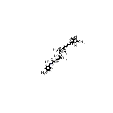 C=C1N[C@H]2CSC(CCCCC(=O)NC(C)(C)COC(C)(C)CCNC(=O)/C=C(\C)c3ccc(C)cc3)[C@H]2N1